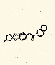 CC1CCC(Oc2ccc(CC(=O)c3ccc4c(c3)CCC4)cc2)(C(=O)O)C1